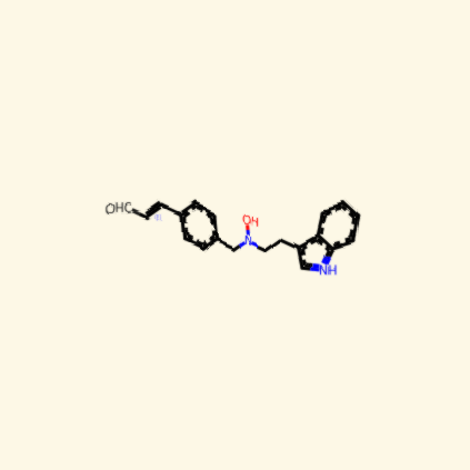 O=C/C=C/c1ccc(CN(O)CCc2c[nH]c3ccccc23)cc1